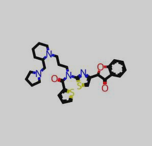 O=C1c2ccccc2OC1c1csc(N(CCCN2CCCCC2CN2CCCC2)C(=O)c2cccs2)n1